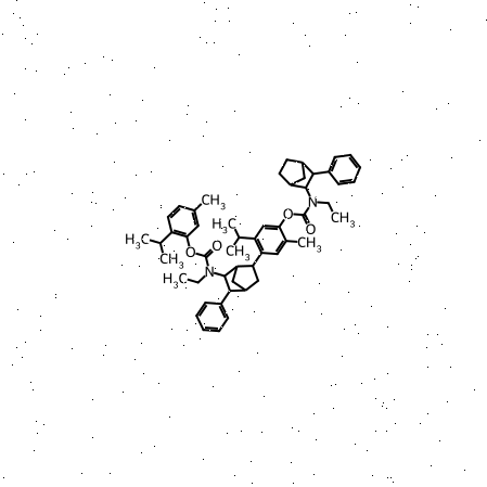 CCN(C(=O)Oc1cc(C(C)C)c(C2CC3CC2C(N(CC)C(=O)Oc2cc(C)ccc2C(C)C)C3c2ccccc2)cc1C)C1C2CCC(C2)C1c1ccccc1